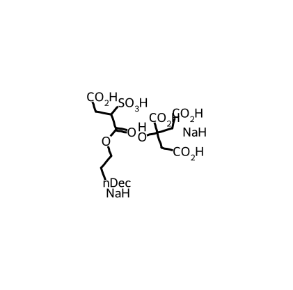 CCCCCCCCCCCCOC(=O)C(CC(=O)O)S(=O)(=O)O.O=C(O)CC(O)(CC(=O)O)C(=O)O.[NaH].[NaH]